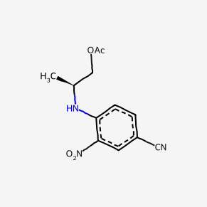 CC(=O)OC[C@H](C)Nc1ccc(C#N)cc1[N+](=O)[O-]